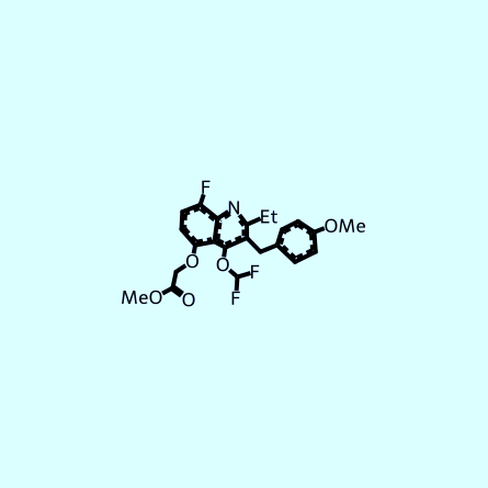 CCc1nc2c(F)ccc(OCC(=O)OC)c2c(OC(F)F)c1Cc1ccc(OC)cc1